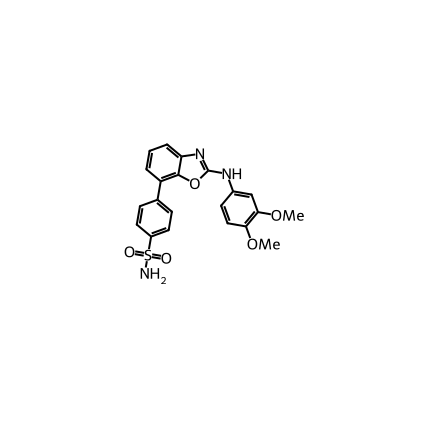 COc1ccc(Nc2nc3cccc(-c4ccc(S(N)(=O)=O)cc4)c3o2)cc1OC